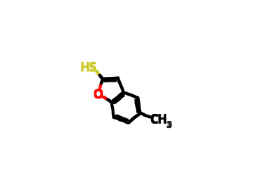 Cc1ccc2oc(S)cc2c1